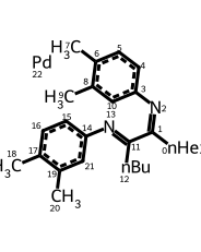 CCCCCCC(=Nc1ccc(C)c(C)c1)C(CCCC)=Nc1ccc(C)c(C)c1.[Pd]